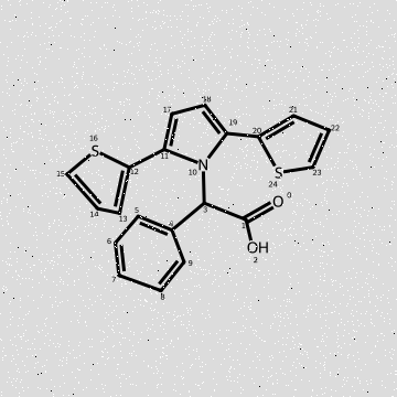 O=C(O)C(c1ccccc1)n1c(-c2cccs2)ccc1-c1cccs1